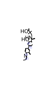 C=C(NCC(C)(C)C(=C)O)C(=C)/C(O)=C\C(=C/C)C1=CC(=C)/C(=N\C=C/C)C=C1